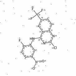 O=[N+]([O-])c1ccc(F)c(Nc2nc(Cl)nc3ccc(C(F)(F)F)cc23)c1